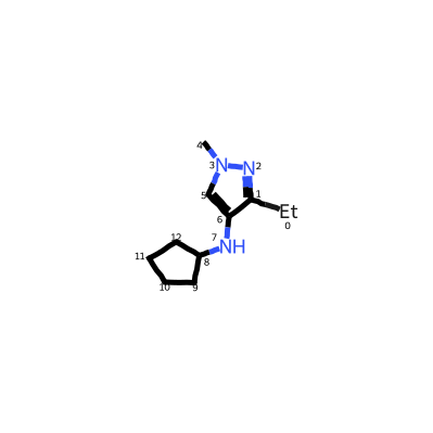 CCc1nn(C)cc1NC1CCCC1